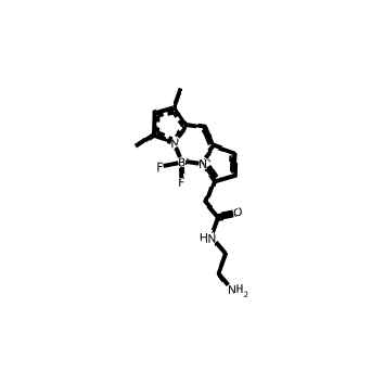 Cc1cc(C)n2c1C=C1C=CC(CC(=O)NCCN)=[N+]1[B-]2(F)F